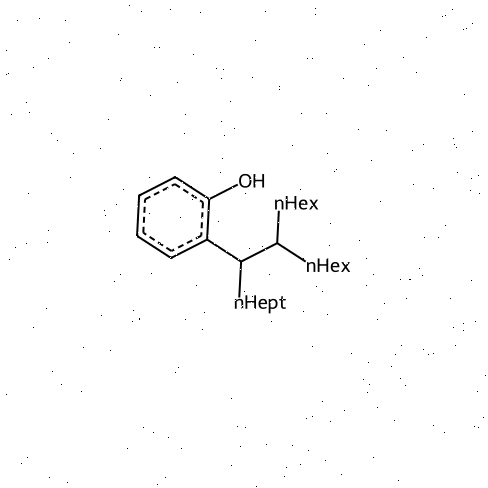 CCCCCCCC(c1ccccc1O)C(CCCCCC)CCCCCC